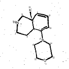 C1=C[C@H]2CNCCC2C(N2CCOCC2)=C1